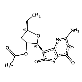 CC[C@@H]1CC(OC(C)=O)[C@H](n2c(=O)sc3c(=O)[nH]c(N)nc32)O1